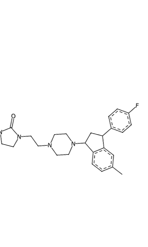 Cc1ccc2c(c1)C(c1ccc(F)cc1)CC2N1CCN(CCN2CCNC2=O)CC1